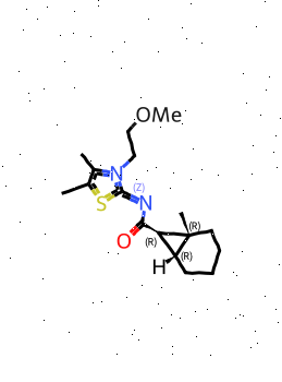 COCCn1c(C)c(C)s/c1=N\C(=O)[C@@H]1[C@H]2CCCC[C@]21C